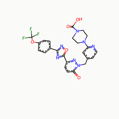 O=C(O)N1CCN(c2cc(Cn3nc(-c4nc(-c5ccc(OC(F)(F)F)cc5)no4)ccc3=O)ccn2)CC1